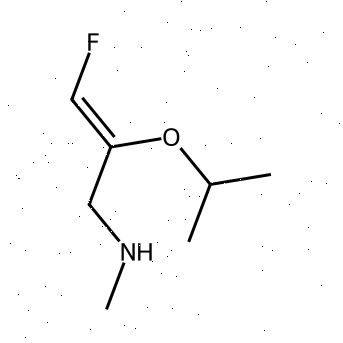 CNC/C(=C/F)OC(C)C